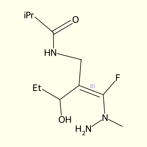 CCC(O)/C(CNC(=O)C(C)C)=C(/F)N(C)N